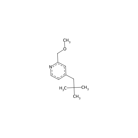 COCc1cc(CC(C)(C)C)ccn1